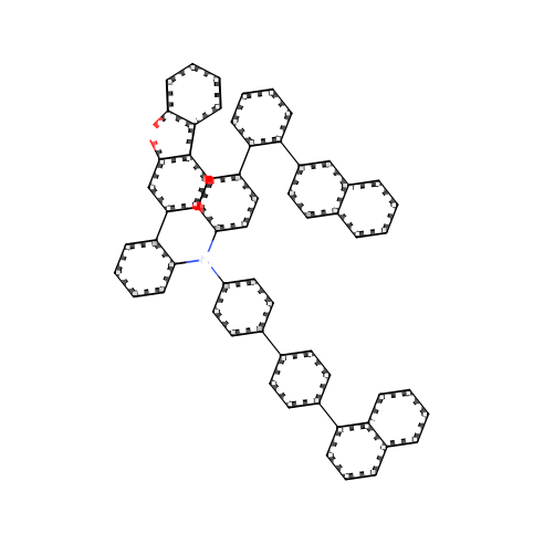 c1ccc(-c2ccc3ccccc3c2)c(-c2ccc(N(c3ccc(-c4ccc(-c5cccc6ccccc56)cc4)cc3)c3ccccc3-c3ccc4c(c3)oc3ccccc34)cc2)c1